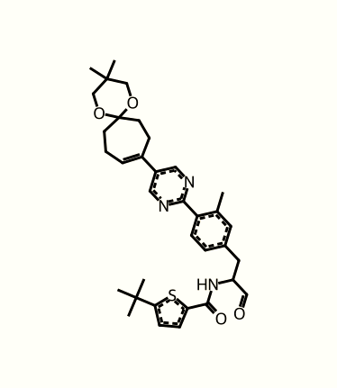 Cc1cc(CC(C=O)NC(=O)c2ccc(C(C)(C)C)s2)ccc1-c1ncc(C2=CCCC3(CC2)OCC(C)(C)CO3)cn1